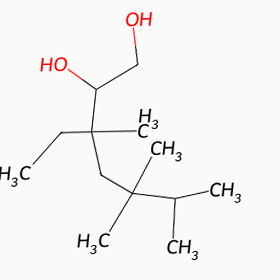 CCC(C)(CC(C)(C)C(C)C)C(O)CO